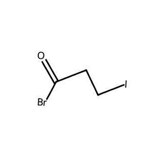 O=C(Br)CCI